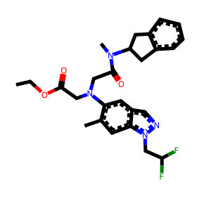 CCOC(=O)CN(CC(=O)N(C)C1Cc2ccccc2C1)c1cc2cnn(CC(F)F)c2cc1C